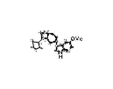 COc1cnc2[nH]cc(-c3ccc4ncn(C5CCCC5)c4c3)c2c1